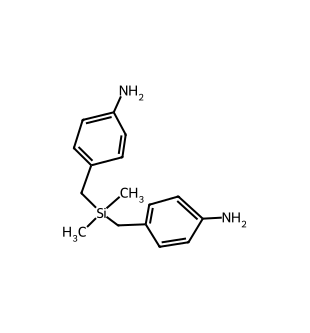 C[Si](C)(Cc1ccc(N)cc1)Cc1ccc(N)cc1